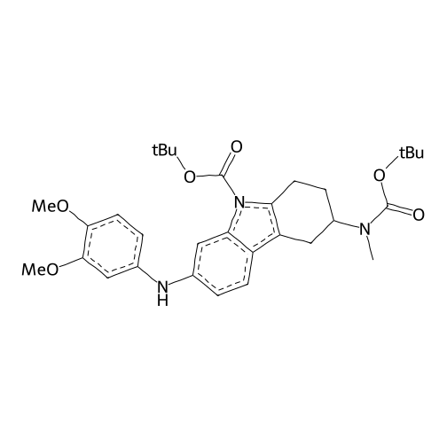 COc1ccc(Nc2ccc3c4c(n(C(=O)OC(C)(C)C)c3c2)CCC(N(C)C(=O)OC(C)(C)C)C4)cc1OC